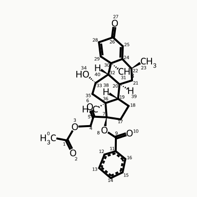 CC(=O)OCC(=O)[C@@]1(OC(=O)c2ccccc2)CC[C@H]2[C@@H]3C[C@H](C)C4=CC(=O)C=C[C@]4(C)[C@H]3[C@@H](O)C[C@@]21C